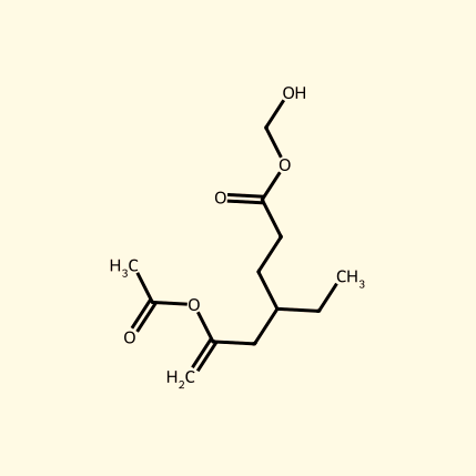 C=C(CC(CC)CCC(=O)OCO)OC(C)=O